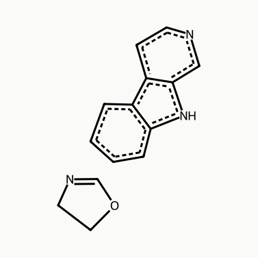 C1=NCCO1.c1ccc2c(c1)[nH]c1cnccc12